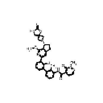 COc1nc(-c2cccc(-c3cccc(NC(=O)c4ccnn(C)c4=O)c3C)c2Cl)cc2c1[C@@H](N1CC3(CNC(=O)O3)C1)CC2